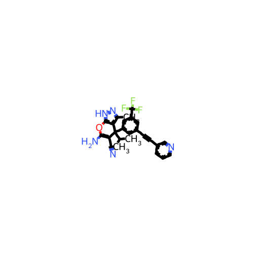 Cc1n[nH]c2c1C(c1cc(C#Cc3cccnc3)cc(C(F)(F)F)c1)(C(C)C)C(C#N)=C(N)O2